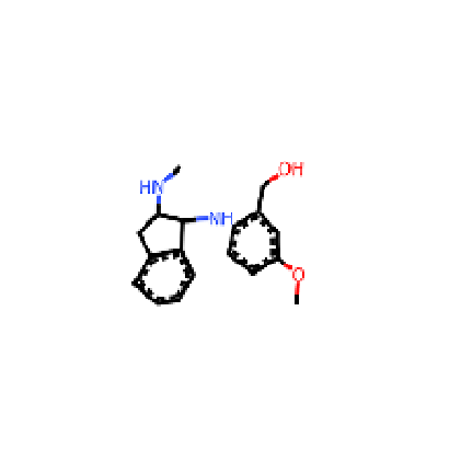 CNC1Cc2ccccc2C1Nc1ccc(OC)cc1CO